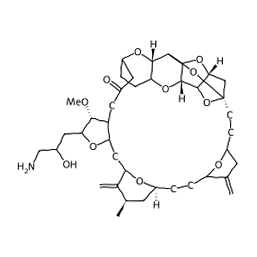 C=C1CC2CC[C@@]34C[C@H]5OC6C(O3)[C@H]3OC(CCC3O[C@H]6C5O4)CC(=O)CC3C(CC4O[C@@H](CCC1O2)C[C@@H](C)C4=C)OC(CC(O)CN)[C@@H]3OC